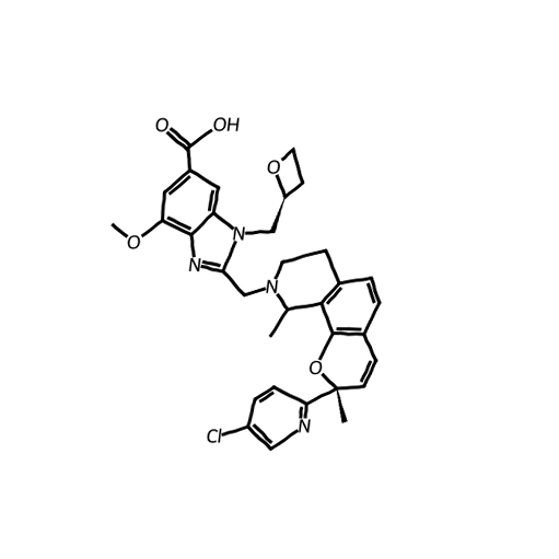 COc1cc(C(=O)O)cc2c1nc(CN1CCc3ccc4c(c3C1C)O[C@@](C)(c1ccc(Cl)cn1)C=C4)n2C[C@@H]1CCO1